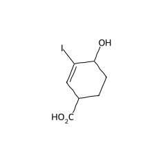 O=C(O)C1C=C(I)C(O)CC1